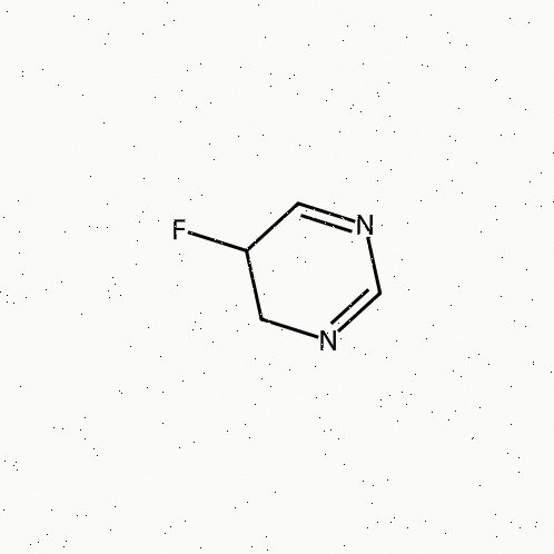 FC1C=NC=NC1